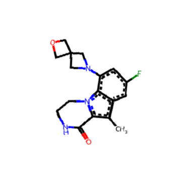 Cc1c2n(c3c(N4CC5(COC5)C4)cc(F)cc13)CCNC2=O